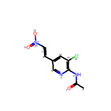 CC(=O)Nc1ncc(/C=C/[N+](=O)[O-])cc1Cl